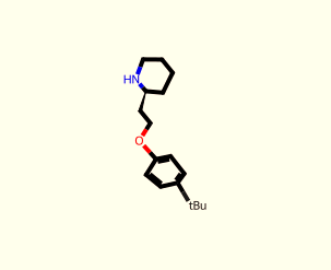 CC(C)(C)c1ccc(OCC[C@@H]2CCCCN2)cc1